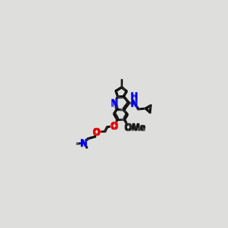 COc1cc2c(NCC3CC3)c3c(nc2cc1OCCOCCN(C)C)CC(C)C3